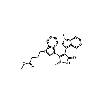 COC(=O)CCCn1cc(C2=C(c3cn(C)c4ccccc34)C(=O)NC2=O)c2ccccc21